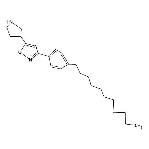 CCCCCCCCCCCc1ccc(-c2noc(C3CCNC3)n2)cc1